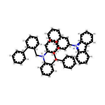 c1ccc(Cc2ccccc2N(Cc2ccccc2-c2ccccc2)c2ccccc2CCc2cc(-n3c4ccccc4c4ccccc43)cc3ccccc23)cc1